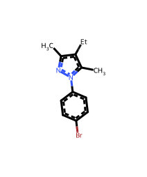 CCc1c(C)nn(-c2ccc(Br)cc2)c1C